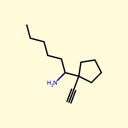 C#CC1(C(N)CCCCC)CCCC1